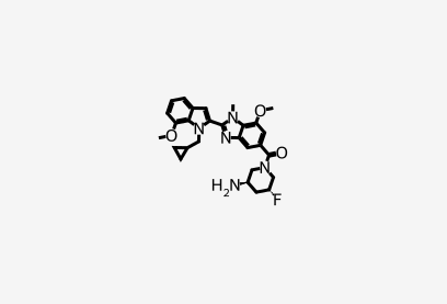 COc1cc(C(=O)N2C[C@H](N)C[C@@H](F)C2)cc2nc(-c3cc4cccc(OC)c4n3CC3CC3)n(C)c12